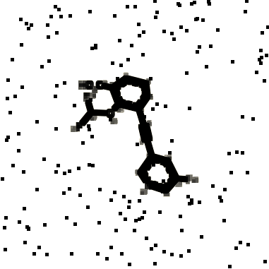 O=C(O)c1cccc(C#Cc2cncc(F)c2)c1OC(F)F